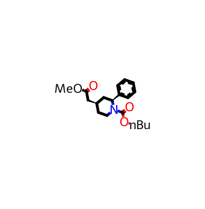 CCCCOC(=O)N1CC[C@@H](CC(=O)OC)C[C@H]1c1ccccc1